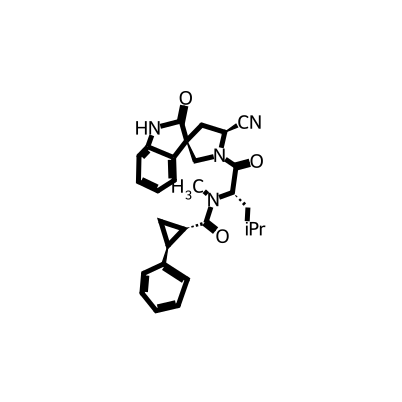 CC(C)C[C@@H](C(=O)N1C[C@]2(C[C@H]1C#N)C(=O)Nc1ccccc12)N(C)C(=O)[C@H]1C[C@@H]1c1ccccc1